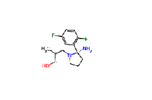 C[C]([CH]O)CN1CCC[C@]1(N)c1cc(F)ccc1F